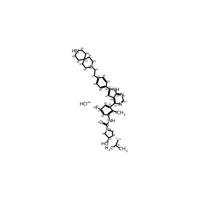 Cc1c(NC(=O)N2C[C@H](CC(C)C)[C@@H](O)C2)cc(F)cc1-c1ncnc2[nH]c(-c3ccc(CCN4CCC5(CCNCC5)CC4)cc3)cc12.Cl